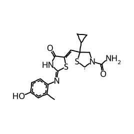 Cc1cc(O)ccc1N=C1NC(=O)C(=CC2(C3CC3)CN(C(N)=O)[CH]S2)S1